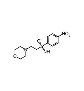 N=S(=O)(CCN1CCOCC1)c1ccc([N+](=O)[O-])cc1